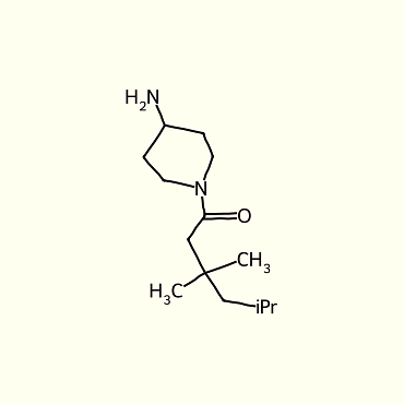 CC(C)CC(C)(C)CC(=O)N1CCC(N)CC1